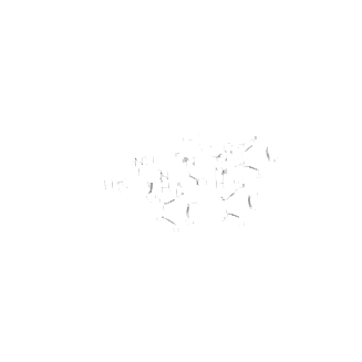 C[C@H](N)C(=O)N[C@H](C(=O)N1CCC[C@H]1C(=O)NC(c1ccccc1)c1ccccc1)c1ccccc1